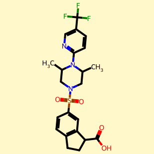 CC1CN(S(=O)(=O)c2ccc3c(c2)C(C(=O)O)CC3)CC(C)N1c1ccc(C(F)(F)F)cn1